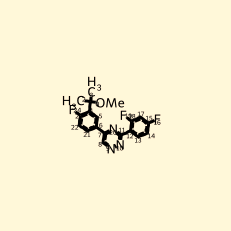 COC(C)(C)c1cc(-c2cnnc(-c3ccc(F)cc3F)n2)ccc1F